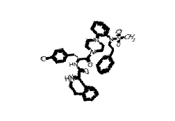 CS(=O)(=O)N(CCc1ccccc1)c1ccccc1N1CCN(C(=O)[C@@H](Cc2ccc(Cl)cc2)NC(=O)C2N[CH]Cc3ccccc32)CC1